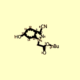 CCCCOC(=O)Cn1nc(C#N)c2ccc(O)cc21